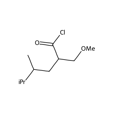 COCC(CC(C)C(C)C)C(=O)Cl